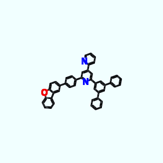 c1ccc(-c2cc(-c3ccccc3)cc(-c3cc(-c4ccccn4)cc(-c4ccc(-c5ccc6oc7ccccc7c6c5)cc4)n3)c2)cc1